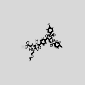 CCOCCNC(=O)[C@@H](CCC(=O)O)NC(=O)c1ccc(C(=O)C(CS(=O)(=O)c2ccc(C)cc2)CS(=O)(=O)c2ccc(C)cc2)cc1